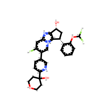 O[C@@H]1C[C@H](c2ccccc2OC(F)F)c2c1nc1cc(F)c(-c3ccc(C4(O)CCOCC4)nc3)cn21